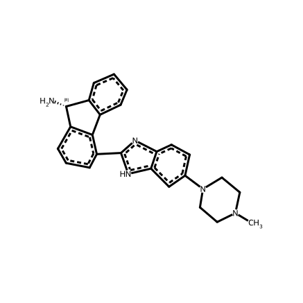 CN1CCN(c2ccc3nc(-c4cccc5c4-c4ccccc4[C@H]5N)[nH]c3c2)CC1